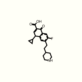 O=C(O)C1=CC(C2CC2)c2cc(CCC3CCNCC3)c(F)cc2C1=O